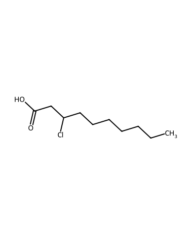 CCCCCCCC(Cl)CC(=O)O